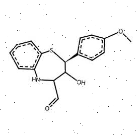 COc1ccc([C@@H]2Sc3ccccc3NC(C=O)C2O)cc1